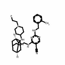 Cc1ccccc1CNc1ncc(C#N)c(NC[C@]23CC4C[C@H](C2)[C@@H](NC2CCN(CCF)CC2)[C@@H](C4)C3)n1